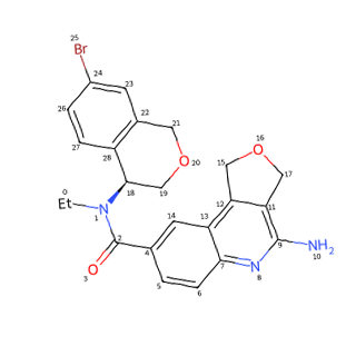 CCN(C(=O)c1ccc2nc(N)c3c(c2c1)COC3)[C@@H]1COCc2cc(Br)ccc21